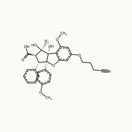 COc1ccc([C@@]23Oc4cc(OCCCC#N)cc(OC)c4[C@]2(O)[C@](C)(O)[C@H](C(=O)O)[C@H]3c2ccccc2)cc1